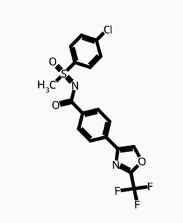 CS(=O)(=NC(=O)c1ccc(-c2coc(C(F)(F)F)n2)cc1)c1ccc(Cl)cc1